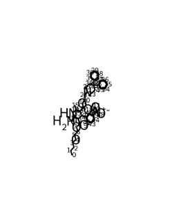 CCCCOCCOC(=O)C1=C(N)NC(C)=C(C(=O)OCCN2CCC(c3ccccc3)(c3ccccc3)CC2)C1c1cccc([N+](=O)[O-])c1